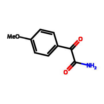 COc1ccc(C(=O)C(N)=O)cc1